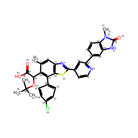 Cc1cc2nc(-c3ccnc(-c4ccc5c(c4)[nH]c(=O)n5C)c3)sc2c(-c2ccc(Cl)cc2)c1C(OC(C)(C)C)C(=O)O